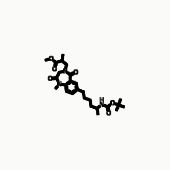 COC(=O)C(C)CN1CC(=O)N(C)c2ccc(CCCCC(C)NC(=O)OC(C)(C)C)cc2C1=O